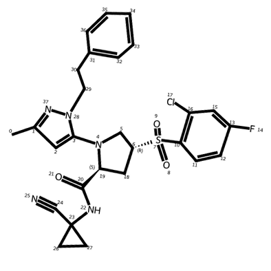 Cc1cc(N2C[C@H](S(=O)(=O)c3ccc(F)cc3Cl)C[C@H]2C(=O)NC2(C#N)CC2)n(CCc2ccccc2)n1